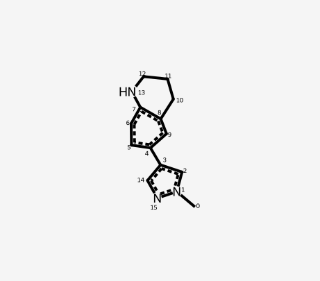 Cn1cc(-c2ccc3c(c2)CCCN3)cn1